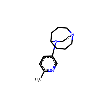 Cc1ccc(N2CCN3CCCC2CCC3)cn1